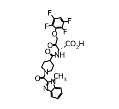 Cn1c(C(=O)N2CCC(C(=O)N[C@@H](CC(=O)O)C(=O)COc3c(F)c(F)cc(F)c3F)CC2)nc2ccccc21